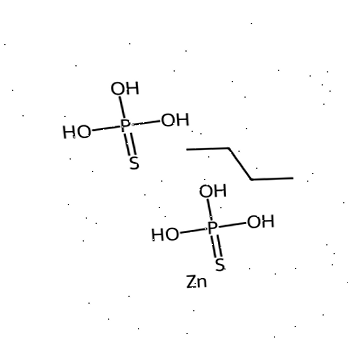 CCCC.OP(O)(O)=S.OP(O)(O)=S.[Zn]